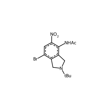 CC(=O)Nc1c([N+](=O)[O-])cc(Br)c2c1CN(C(C)(C)C)C2